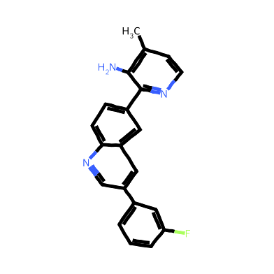 Cc1ccnc(-c2ccc3ncc(-c4cccc(F)c4)cc3c2)c1N